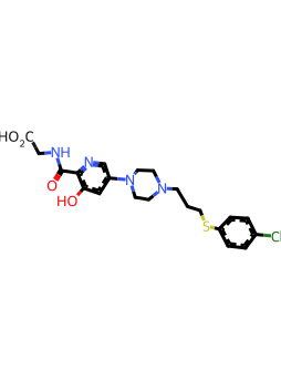 O=C(O)CNC(=O)c1ncc(N2CCN(CCCSc3ccc(Cl)cc3)CC2)cc1O